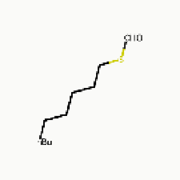 CCCCCCCCCSC=O